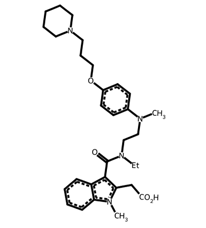 CCN(CCN(C)c1ccc(OCCCN2CCCCC2)cc1)C(=O)c1c(CC(=O)O)n(C)c2ccccc12